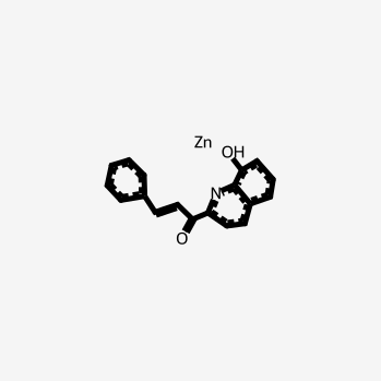 O=C(/C=C/c1ccccc1)c1ccc2cccc(O)c2n1.[Zn]